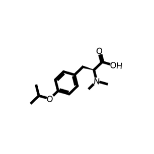 CC(C)Oc1ccc(C[C@@H](C(=O)O)N(C)C)cc1